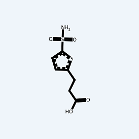 NS(=O)(=O)c1ccc(CCC(=O)O)s1